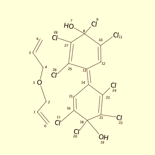 C=CCOCC=C.OC1(Cl)C(Cl)=C/C(=C2/C=C(Cl)C(O)(Cl)C(Cl)=C2Cl)C(Cl)=C1Cl